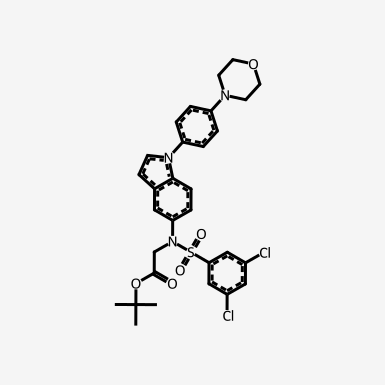 CC(C)(C)OC(=O)CN(c1ccc2c(ccn2-c2ccc(N3CCOCC3)cc2)c1)S(=O)(=O)c1cc(Cl)cc(Cl)c1